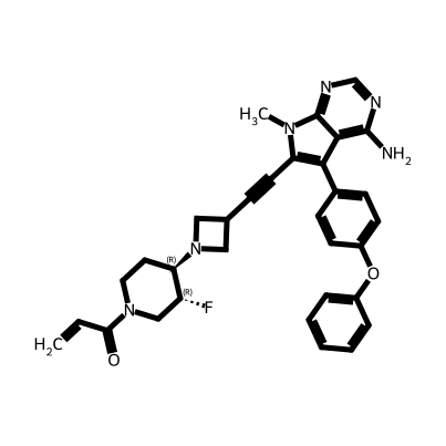 C=CC(=O)N1CC[C@@H](N2CC(C#Cc3c(-c4ccc(Oc5ccccc5)cc4)c4c(N)ncnc4n3C)C2)[C@H](F)C1